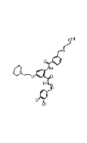 O=C(Nc1ccc(OCCN2CCCCC2)cc1C(=O)N/N=C\c1ccc(Cl)c(C(F)(F)F)c1)c1cccc(CSCCO)c1